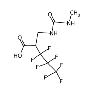 CNC(=O)NCC(C(=O)O)C(F)(F)C(F)(F)C(F)(F)F